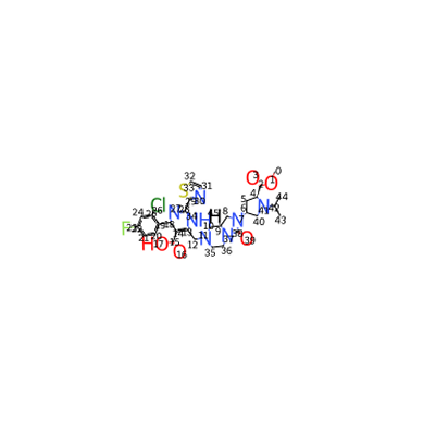 COC(=O)[C@@H]1C[C@@H](N2C[C@@H]3CN(CC4=C(C(=O)O)C(c5ccc(F)cc5Cl)N=C(c5nccs5)N4)CCN3C2=O)CN1C(C)C